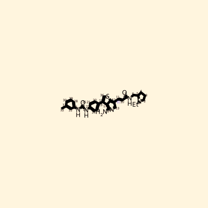 CCN1CCCC1CNC(=O)/C=C/c1cnc(N)c2c(-c3ccc(NC(=O)Nc4cccc(C)c4)cc3)csc12